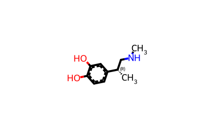 CNC[C@H](C)c1ccc(O)c(O)c1